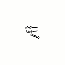 CSC.CSC.O=S